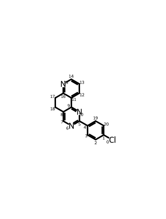 Clc1ccc(-c2ncc3c(n2)-c2cccnc2CC3)cc1